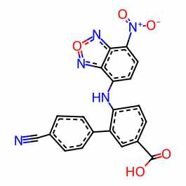 N#Cc1ccc(-c2cc(C(=O)O)ccc2Nc2ccc([N+](=O)[O-])c3nonc23)cc1